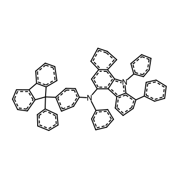 c1ccc(-c2cccc3c4c(N(c5ccccc5)c5ccc(C6(c7ccccc7)c7ccccc7-c7ccccc76)cc5)cc5ccccc5c4n(-c4ccccc4)c23)cc1